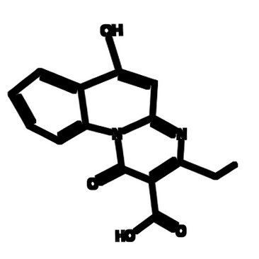 CCc1nc2cc(O)c3ccccc3n2c(=O)c1C(=O)O